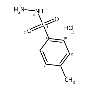 Cc1ccc(S(=O)(=O)NN)cc1.Cl